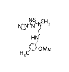 COc1cc(C)ccc1CNCCCN(C)c1nc(-n2ccnc2)ns1